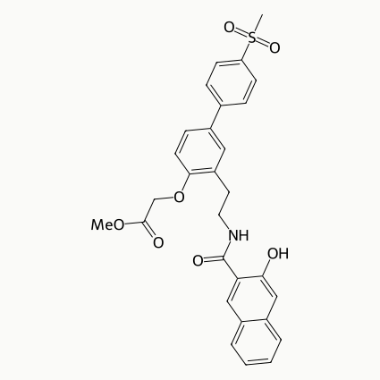 COC(=O)COc1ccc(-c2ccc(S(C)(=O)=O)cc2)cc1CCNC(=O)c1cc2ccccc2cc1O